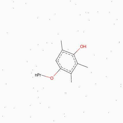 CCCOc1cc(C)c(O)c(C)c1C